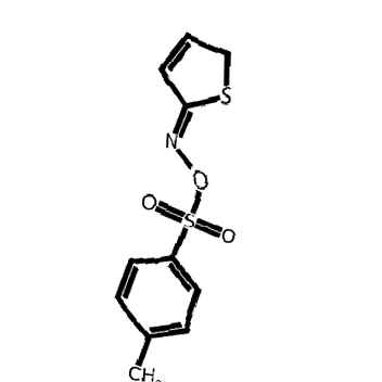 Cc1ccc(S(=O)(=O)ON=C2C=CCS2)cc1